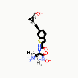 CC(C)(N)C(NC(=O)c1cc2ccc(C#C[C@@H]3C[C@H]3CO)cc2s1)C(=O)NO